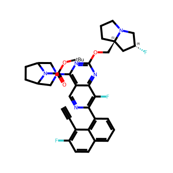 C#Cc1c(F)ccc2cccc(-c3ncc4c(N5CC6CCC(C5)N6C(=O)OC(C)(C)C)nc(OC[C@@]56CCCN5C[C@H](F)C6)nc4c3F)c12